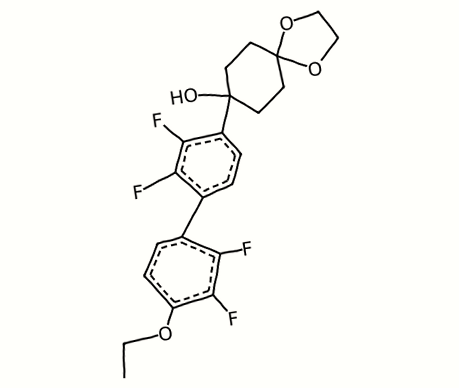 CCOc1ccc(-c2ccc(C3(O)CCC4(CC3)OCCO4)c(F)c2F)c(F)c1F